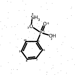 O=P(O)(O[SiH3])c1ccccc1